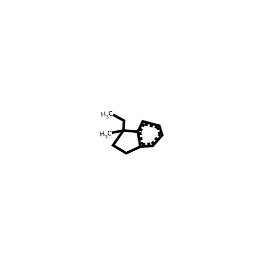 CCC1(C)CCc2ccccc21